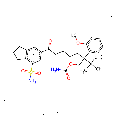 COc1ccccc1C(CCCCC(=O)c1cc2c(c(S(N)(=O)=O)c1)CCC2)(COC(N)=O)C(C)(C)C